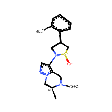 C[C@H]1Cn2ncc(N3CC(c4ccccc4C(=O)O)C[S+]3[O-])c2CN1C=O